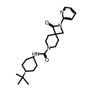 CC(C)(C)[C@H]1CC[C@@H](NC(=O)N2CCC3(CC2)CN(c2ccccn2)C3=O)CC1